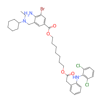 CCN(Cc1cc(C(=O)OCCCCCCCOC(=O)Cc2ccccc2Nc2c(Cl)cccc2Cl)cc(Br)c1N)C1CCCCC1